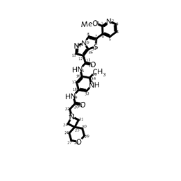 COc1ncccc1-c1cn2ncc(C(=O)NC3=CC(NC(=O)CN4CC5(CCOCC5)C4)=CNC3C)c2s1